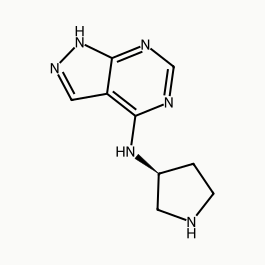 c1nc(N[C@H]2CCNC2)c2cn[nH]c2n1